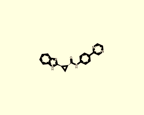 O=C(Nc1ccc(-c2cnccn2)cc1)[C@@H]1C[C@H]1c1nc2ccccc2[nH]1